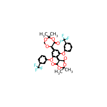 CC1(C)OCOC(=c2cc(Oc3cccc(C(F)(F)F)c3)c(=C3C(=O)OC(C)(C)OC3=O)c(Oc3cccc(C(F)(F)F)c3)c2)C(=O)O1